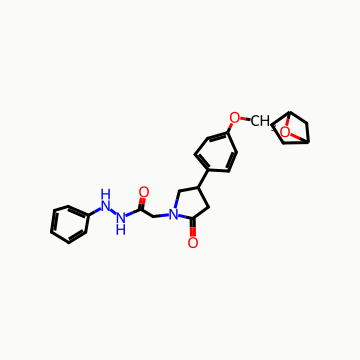 C1CC2CC1O2.COc1ccc(C2CC(=O)N(CC(=O)NNc3ccccc3)C2)cc1